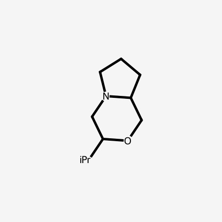 CC(C)C1CN2CCCC2CO1